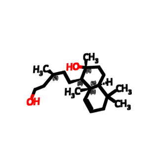 C[C@H](CCO)CC[C@@H]1[C@@]2(C)C=CCC(C)(C)[C@@H]2CC[C@@]1(C)O